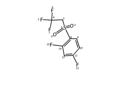 O=S(=O)(CC(F)(F)F)c1ccc(F)cc1F